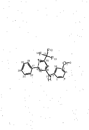 COc1cccc(Nc2cc(C(F)(F)F)nc(-c3ccccc3)n2)c1